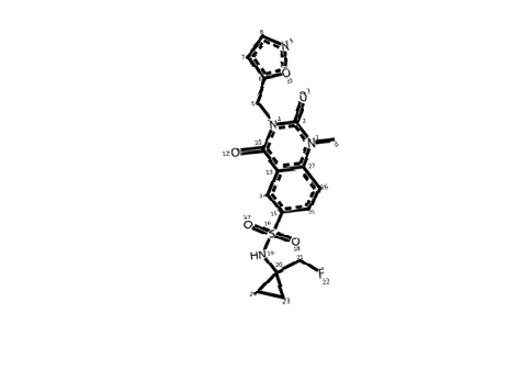 Cn1c(=O)n(Cc2ccno2)c(=O)c2cc(S(=O)(=O)NC3(CF)CC3)ccc21